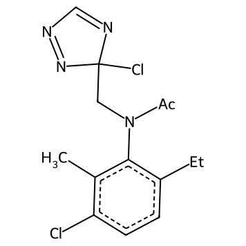 CCc1ccc(Cl)c(C)c1N(CC1(Cl)N=CN=N1)C(C)=O